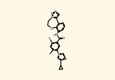 Cc1cc(F)c(C(=O)Nc2cccc3c2OCCn2nncc2-3)cc1-n1cnc(C2CC2)c1